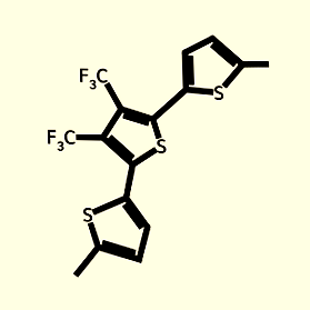 Cc1ccc(-c2sc(-c3ccc(C)s3)c(C(F)(F)F)c2C(F)(F)F)s1